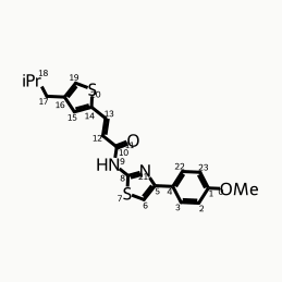 COc1ccc(-c2csc(NC(=O)C=Cc3cc(CC(C)C)cs3)n2)cc1